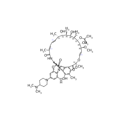 CO[C@H]1/C=C/O[C@@]2(C)Oc3c(C)c(O)c4c(=O)c(c5oc6cc(N7CCC(N(C)C)CC7)cc(O)c6nc-5c4c3C2=O)NC(=O)/C(C)=C\C=C\[C@H](C)[C@H](O)[C@@H](C)[C@@H](O)[C@@H](C)[C@H](OC(C)=O)[C@@H]1C